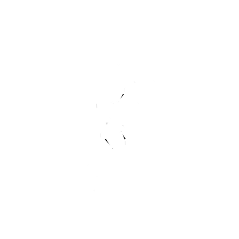 C[C@]12CC[C@H]3[C@@H](CCC4=CC(=O)CC[C@H]43)[C@@H]1CC(O)C2=O